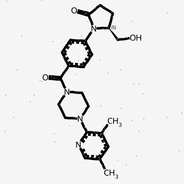 Cc1cnc(N2CCN(C(=O)c3ccc(N4C(=O)CC[C@H]4CO)cc3)CC2)c(C)c1